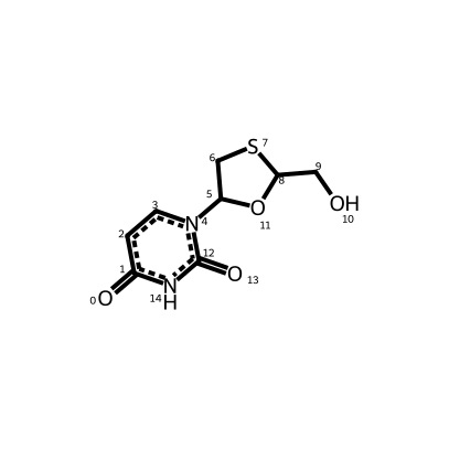 O=c1ccn(C2CSC(CO)O2)c(=O)[nH]1